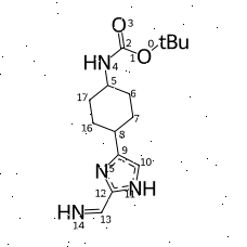 CC(C)(C)OC(=O)NC1CCC(c2c[nH]c(C=N)n2)CC1